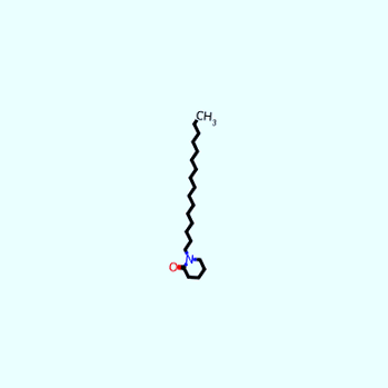 CCCCCCCCCCCCCCCCN1CCCCC1=O